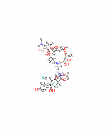 CC/C1=C(\O)[C@H](O)[C@@H](C)N(CCCNC(=O)[C@@]23OC(C)(C)O[C@@H]2CC2C4C[C@H](F)C5=CC(=O)C=C[C@]5(C)[C@@]4(F)[C@@H](O)C[C@@]23C)C[C@]2(C)C[C@@]2(O)C(O[C@@H]2O[C@H](C)C[C@@H](N(C)C)[C@H]2O)[C@@H](C)C(O)[C@@H](C)C(=O)O1